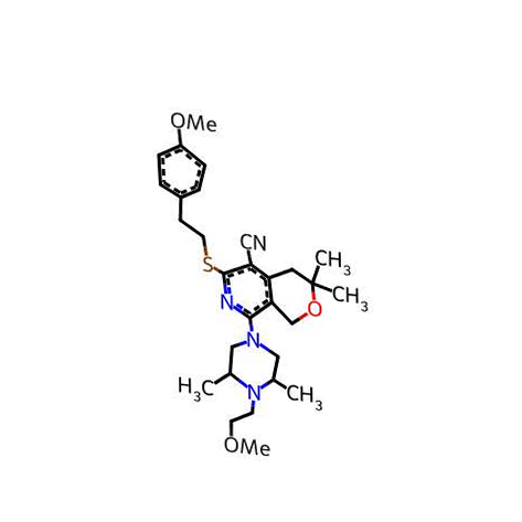 COCCN1C(C)CN(c2nc(SCCc3ccc(OC)cc3)c(C#N)c3c2COC(C)(C)C3)CC1C